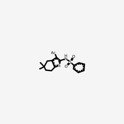 CC(=O)c1c(NS(=O)(=O)c2ccccc2)sc2c1CC(C)(C)CC2